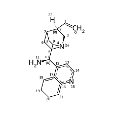 C=C[C@H]1C[N@@]2CCC1CC2[C@H](N)c1ccnc2c1=CCCC=2